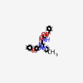 CC1CCN(c2cc(C(=O)N[C@@H](COCc3ccccc3)C(=O)O)nc(-c3ccc(Oc4ccccc4)cc3)n2)CC1